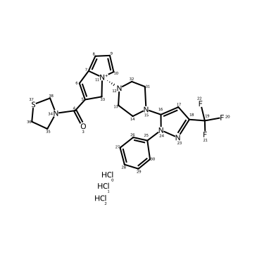 Cl.Cl.Cl.O=C(C1=CC2=CC=C[N@@+]2(N2CCN(c3cc(C(F)(F)F)nn3-c3ccccc3)CC2)C1)N1CCSC1